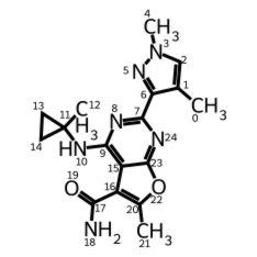 Cc1cn(C)nc1-c1nc(NC2(C)CC2)c2c(C(N)=O)c(C)oc2n1